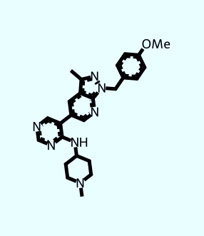 COc1ccc(Cn2nc(C)c3cc(-c4cncnc4NC4CCN(C)CC4)cnc32)cc1